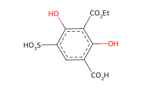 CCOC(=O)c1c(O)c(C(=O)O)cc(S(=O)(=O)O)c1O